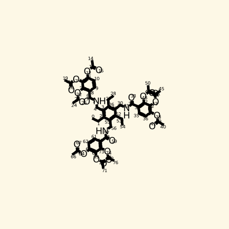 CCc1c(CNC(=O)c2ccc(OC(C)=O)c(OC(C)=O)c2OC(C)=O)c(CC)c(CNC(=O)c2ccc(OC(C)=O)c(OC(C)=O)c2OC(C)=O)c(CC)c1CNC(=O)c1ccc(OC(C)=O)c(OC(C)=O)c1OC(C)=O